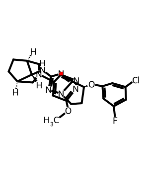 COc1cc(N2C[C@H]3CC[C@@H](C2)[C@@H]3Nc2nc3n(n2)CC[C@H]3Oc2cc(F)cc(Cl)c2)cnn1